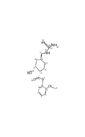 COc1ccccc1OC(=O)[C@H]1CC[C@H](CNC(=N)N)CC1.Cl